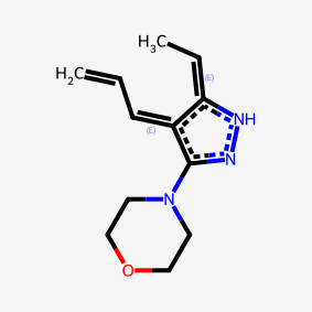 C=C/C=c1/c(N2CCOCC2)n[nH]/c1=C/C